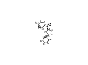 Cc1ccc(C(=O)N2CCC(c3ccccc3)C2)cn1